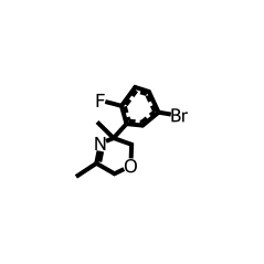 CC1=NC(C)(c2cc(Br)ccc2F)COC1